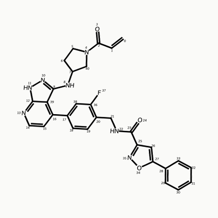 C=CC(=O)N1CCC(Nc2n[nH]c3nccc(-c4ccc(CNC(=O)c5cc(-c6ccccc6)on5)c(F)c4)c23)C1